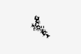 N#CC1(NC(=O)[C@H](CC(F)(F)Cc2ccncc2)NC(=O)N2CC3(CCN(C4CC4)CC3)C2)CC1